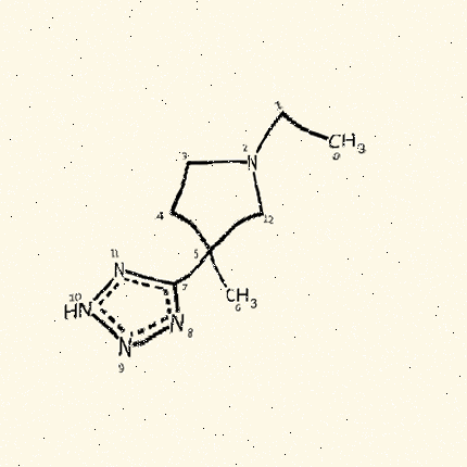 CCN1CCC(C)(c2nn[nH]n2)C1